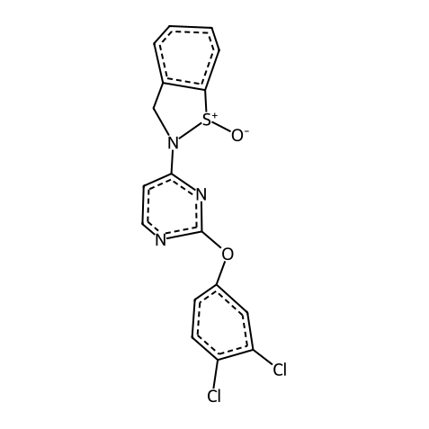 [O-][S+]1c2ccccc2CN1c1ccnc(Oc2ccc(Cl)c(Cl)c2)n1